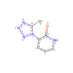 O=c1[nH]cccc1-n1nnnc1S